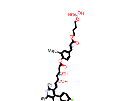 COCc1c(C(C)C)nc(C(C)C)c(/C=C/[C@@H](O)C[C@@H](O)CC(=O)Oc2ccc(/C=C/C(=O)OCCCCON(O)O)cc2OC)c1-c1ccc(F)cc1